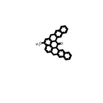 Cc1cc2c3c4c5c(ccc14)Cc1cc4ccccc4cc1C5C(=O)C3c1cc3ccccc3cc1C2